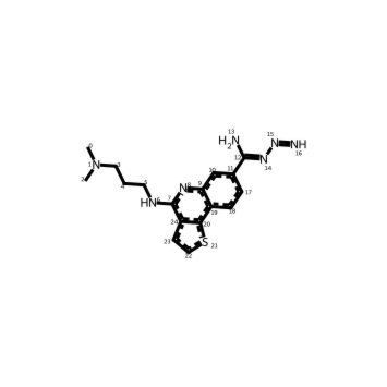 CN(C)CCCNc1nc2cc(/C(N)=N/N=N)ccc2c2sccc12